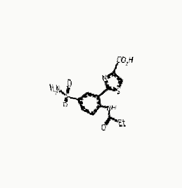 CCC(=O)Nc1ccc(S(N)(=O)=O)cc1-c1nc(C(=O)O)cs1